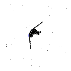 CCCCCCCCCCCCCCC/C=C\C(=O)OCC(COP(=O)(O)OCC[N+](C)(C)C)OC(=O)/C=C\CCCCCCCCCCCCCCC